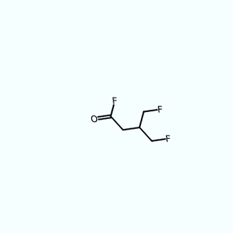 O=C(F)CC(CF)CF